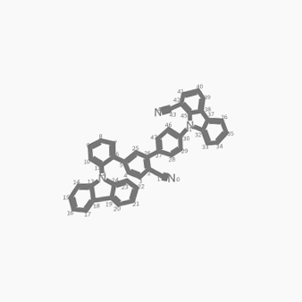 N#Cc1ccc(-c2ccccc2-n2c3ccccc3c3ccccc32)cc1-c1ccc(-n2c3ccccc3c3cccc(C#N)c32)cc1